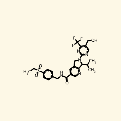 CCS(=O)(=O)c1ccc(CNC(=O)c2cnc3c(c2)CN(c2ncc(CO)c(C(F)(F)F)n2)C3C(C)C)cc1